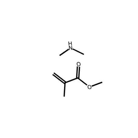 C=C(C)C(=O)OC.CNC